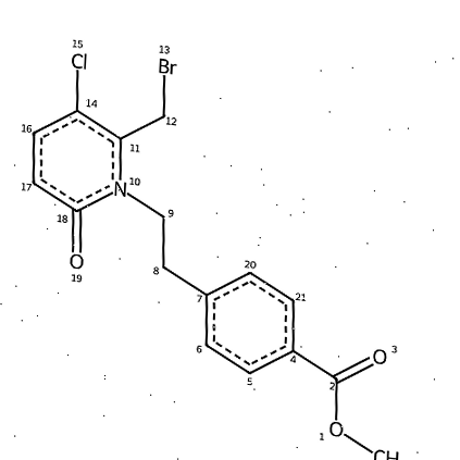 COC(=O)c1ccc(CCn2c(CBr)c(Cl)ccc2=O)cc1